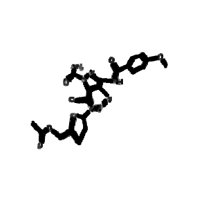 COc1ccc(C(=O)Nc2nn(C(N)=O)c3c(=O)n(C4[CH][CH]C(COC(C)=O)O4)nnc23)cc1